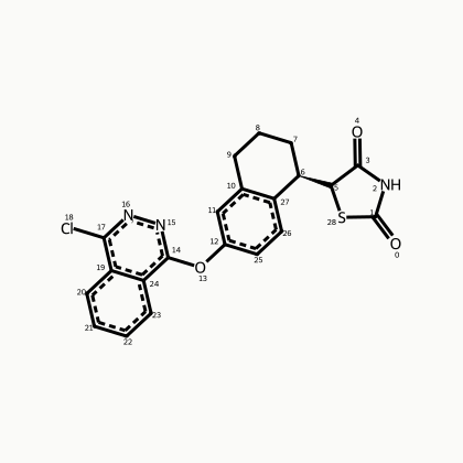 O=C1NC(=O)C([C@@H]2CCCc3cc(Oc4nnc(Cl)c5ccccc45)ccc32)S1